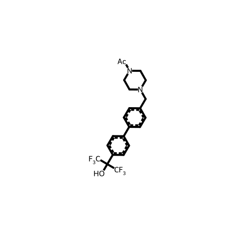 CC(=O)N1CCN(Cc2ccc(-c3ccc(C(O)(C(F)(F)F)C(F)(F)F)cc3)cc2)CC1